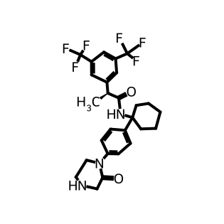 C[C@H](C(=O)NC1(c2ccc(N3CCNCC3=O)cc2)CCCCC1)c1cc(C(F)(F)F)cc(C(F)(F)F)c1